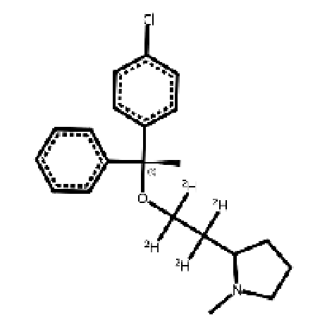 [2H]C([2H])(O[C@](C)(c1ccccc1)c1ccc(Cl)cc1)C([2H])([2H])C1CCCN1C